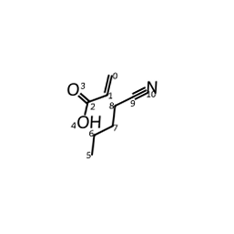 C=CC(=O)O.CCCCC#N